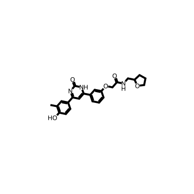 Cc1cc(-c2cc(-c3cccc(OCC(=O)NCC4CCCO4)c3)[nH]c(=O)n2)ccc1O